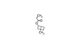 C=CC(=O)OC1CC2(C)CCC12